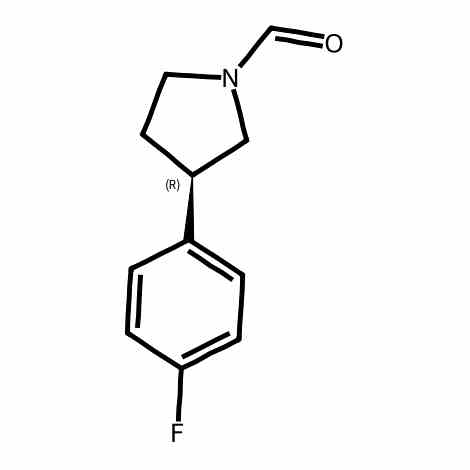 O=CN1CC[C@H](c2ccc(F)cc2)C1